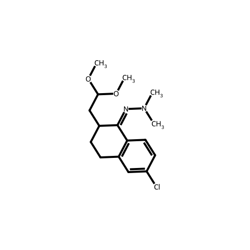 COC(CC1CCc2cc(Cl)ccc2C1=NN(C)C)OC